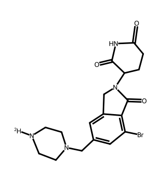 [2H]N1CCN(Cc2cc(Br)c3c(c2)CN(C2CCC(=O)NC2=O)C3=O)CC1